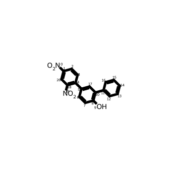 O=[N+]([O-])c1ccc(-c2ccc(O)c(-c3ccccc3)c2)c([N+](=O)[O-])c1